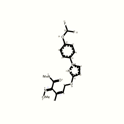 CNC(=O)C(=N/OC)/C(C)=C\COc1ccn(-c2ccc(OC(F)F)cc2)n1